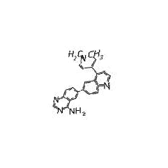 C=N/C=C\C(=C/C)c1ccnc2ccc(-c3ccc4ncnc(N)c4c3)cc12